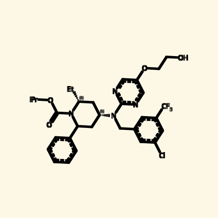 CC[C@@H]1C[C@H](N(Cc2cc(Cl)cc(C(F)(F)F)c2)c2ncc(OCCO)cn2)CC(c2ccccc2)N1C(=O)OC(C)C